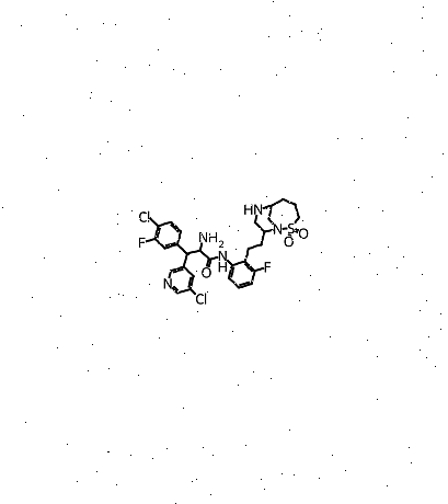 NC(C(=O)Nc1cccc(F)c1CCC1CNC2CCCS(=O)(=O)N1C2)C(c1cncc(Cl)c1)c1ccc(Cl)c(F)c1